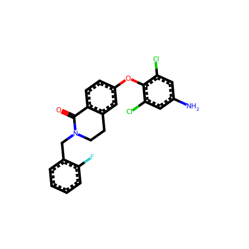 Nc1cc(Cl)c(Oc2ccc3c(c2)CCN(Cc2ccccc2F)C3=O)c(Cl)c1